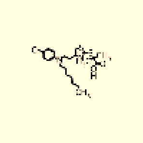 CCCCCCCN(CCc1csc(SC(C)(C)C(=O)O)n1)c1ccc(Cl)cc1